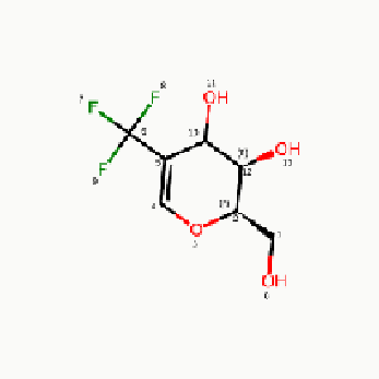 OC[C@H]1OC=C(C(F)(F)F)C(O)[C@H]1O